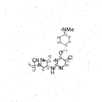 CN[C@H]1CC[C@H](COc2nc(Nc3cn(C(C)(C)C#N)nc3C)ncc2Cl)CC1